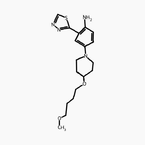 COCCCCOC1CCN(c2ccc(N)c(-c3nncs3)c2)CC1